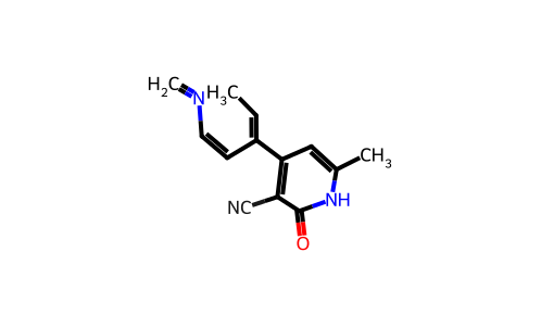 C=N/C=C\C(=C/C)c1cc(C)[nH]c(=O)c1C#N